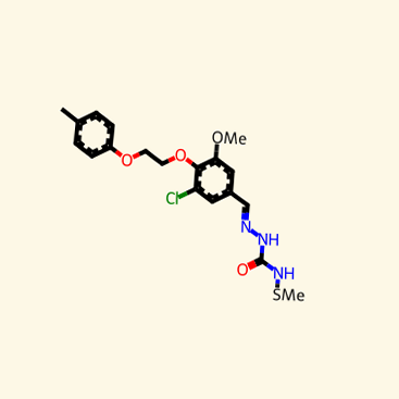 COc1cc(/C=N/NC(=O)NSC)cc(Cl)c1OCCOc1ccc(C)cc1